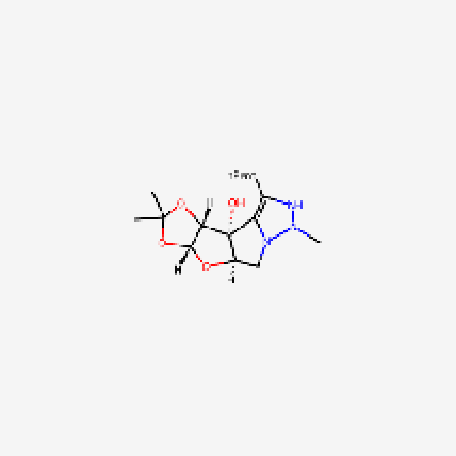 CCCCCC1=C2N(C[C@H]3O[C@@H]4OC(C)(C)O[C@@H]4[C@@]23O)N(C)N1